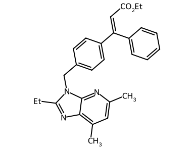 CCOC(=O)/C=C(\c1ccccc1)c1ccc(Cn2c(CC)nc3c(C)cc(C)nc32)cc1